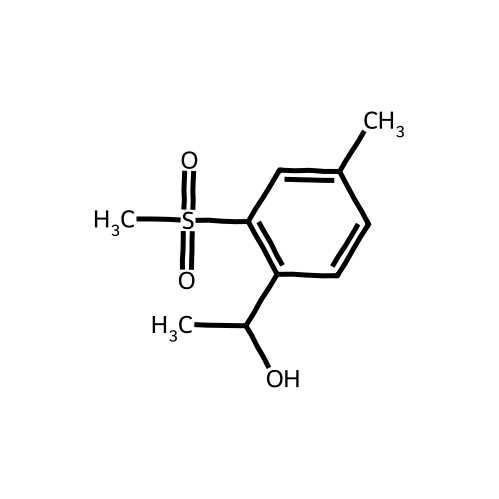 Cc1ccc(C(C)O)c(S(C)(=O)=O)c1